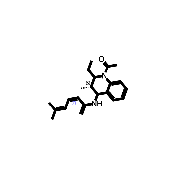 C=C(/C=C\C=C(C)C)NC1c2ccccc2N(C(C)=O)C(CC)[C@H]1C